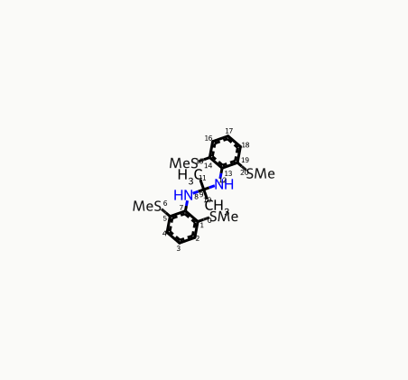 CSc1cccc(SC)c1NC(C)(C)Nc1c(SC)cccc1SC